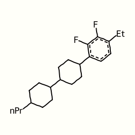 CCCC1CCC(C2CCC(c3ccc(CC)c(F)c3F)CC2)CC1